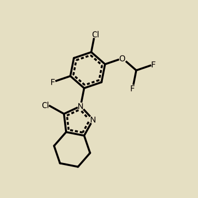 Fc1cc(Cl)c(OC(F)F)cc1-n1nc2c(c1Cl)CCCC2